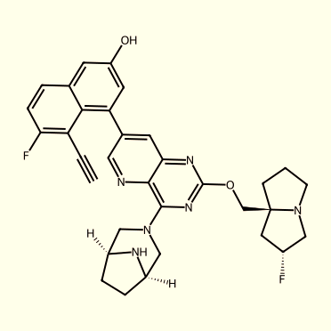 C#Cc1c(F)ccc2cc(O)cc(-c3cnc4c(N5C[C@H]6CC[C@@H](C5)N6)nc(OC[C@@]56CCCN5C[C@H](F)C6)nc4c3)c12